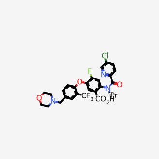 CC(C)N(C(=O)c1ccc(Cl)cn1)c1cc(F)c(Oc2ccc(CN3CCOCC3)cc2C(F)(F)F)cc1C(=O)O